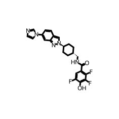 O=C(NC[C@H]1CC[C@H](n2cc3ccc(-n4ccnc4)cc3n2)CC1)c1cc(F)c(O)c(F)c1F